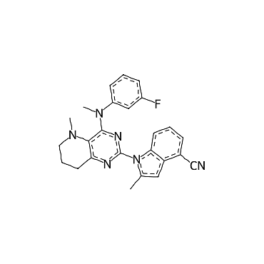 Cc1cc2c(C#N)cccc2n1-c1nc2c(c(N(C)c3cccc(F)c3)n1)N(C)CCC2